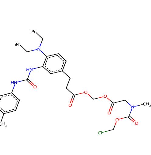 Cc1ccc(NC(=O)Nc2cc(CCC(=O)OCOC(=O)CN(C)C(=O)OCCl)ccc2N(CC(C)C)CC(C)C)cc1